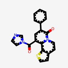 O=C(c1cc(-c2ccccc2)c(=O)n2ccc3ccsc3c12)n1ccnc1